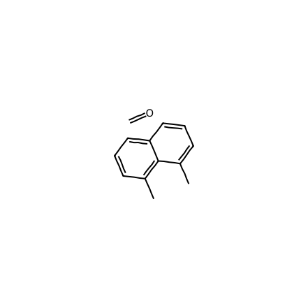 C=O.Cc1cccc2cccc(C)c12